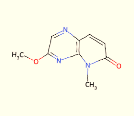 COc1cnc2ccc(=O)n(C)c2n1